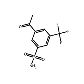 CC(=O)c1cc(C(F)(F)F)cc(S(N)(=O)=O)c1